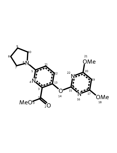 COC(=O)c1nc(N2CCCC2)ccc1Oc1nc(OC)cc(OC)n1